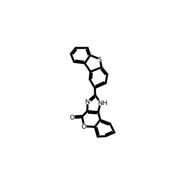 O=c1oc2ccccc2c2[nH]c(-c3ccc4sc5ccccc5c4c3)nc12